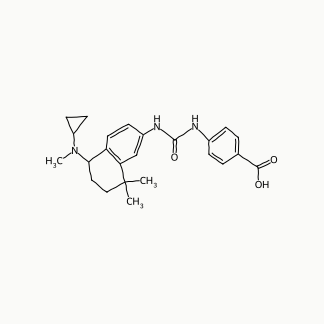 CN(C1CC1)C1CCC(C)(C)c2cc(NC(=O)Nc3ccc(C(=O)O)cc3)ccc21